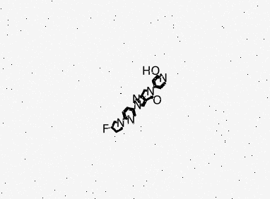 O=C1c2cn(-c3ccc(N4CC[C@H](F)C4)nc3)nc2CN1c1ccnc(O)c1